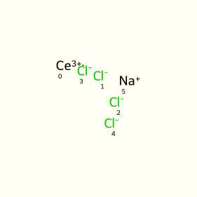 [Ce+3].[Cl-].[Cl-].[Cl-].[Cl-].[Na+]